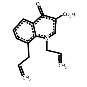 C=CCc1cccc2c(=O)c(C(=O)O)cn(CC=C)c12